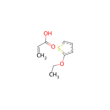 C=CC(=O)O.CCOc1cccs1